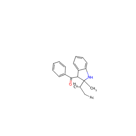 CC(=O)CC(C)C1(C)Nc2ccccc2C1C(=O)c1ccccc1